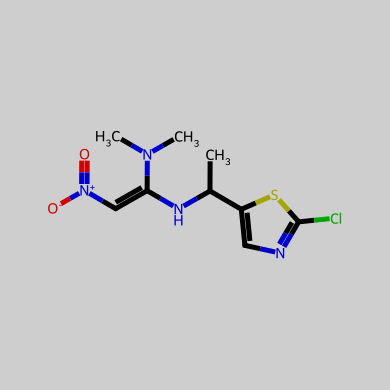 CC(NC(=C[N+](=O)[O-])N(C)C)c1cnc(Cl)s1